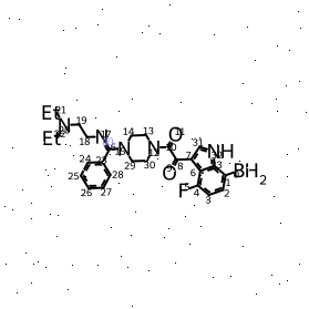 Bc1ccc(F)c2c(C(=O)C(=O)N3CCN(/C(=N/CCN(CC)CC)c4ccccc4)CC3)c[nH]c12